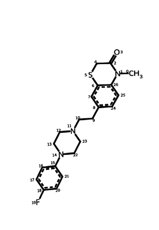 CN1C(=O)CSc2cc(CCN3CCN(c4ccc(F)cc4)CC3)ccc21